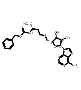 Nc1ncnc2c1ncn2[C@@H]1O[C@H](CSCC[C@H](NC(=O)OCc2ccccc2)C(=O)O)[C@@H](O)[C@H]1O